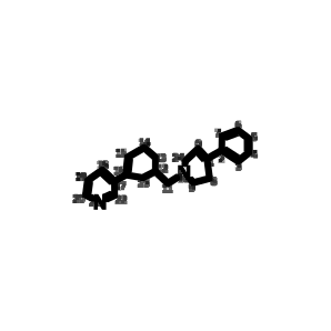 C1=C(c2ccccc2)CCN(CC2CCC=C(c3cccnc3)C2)C1